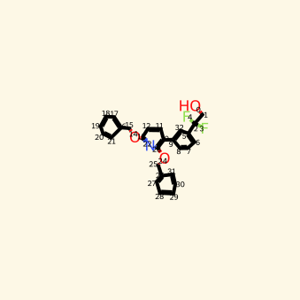 OCC(F)(F)c1cccc(-c2ccc(OCc3ccccc3)nc2OCc2ccccc2)c1